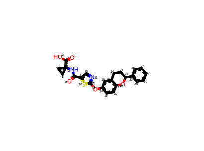 O=C(NC1(C(=O)O)CC1)c1cnc(Oc2ccc3c(c2)CCC(c2ccccc2)O3)s1